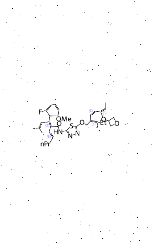 C\C=C(/C=C\C(COc1nnc(NC(=O)C(/C=C/CCC)=C(/C=C(C)C)c2c(F)cccc2OC)s1)=C(\C)CC)OC1COC1